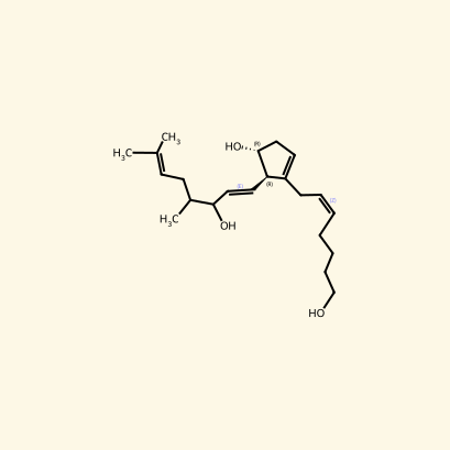 CC(C)=CCC(C)C(O)/C=C/[C@@H]1C(C/C=C\CCCCO)=CC[C@H]1O